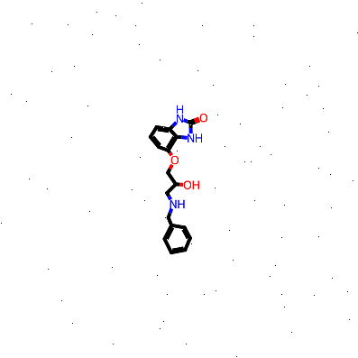 O=c1[nH]c2cccc(OCC(O)CNCc3ccccc3)c2[nH]1